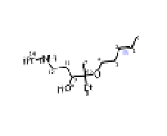 C/C=C/CCOC(C)(CC)C(O)CCNC(C)C